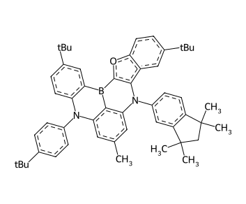 Cc1cc2c3c(c1)N(c1ccc4c(c1)C(C)(C)CC4(C)C)c1c(oc4ccc(C(C)(C)C)cc14)B3c1cc(C(C)(C)C)ccc1N2c1ccc(C(C)(C)C)cc1